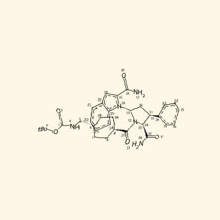 CC(C)(C)OC(=O)NC[C@H]1CC[C@H](C(=O)N2C(n3c(C(N)=O)cc4ccccc43)C[C@@H](c3ccccc3)[C@H]2C(N)=O)CC1